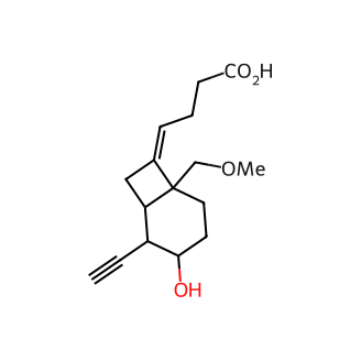 C#CC1C(O)CCC2(COC)C(=CCCC(=O)O)CC12